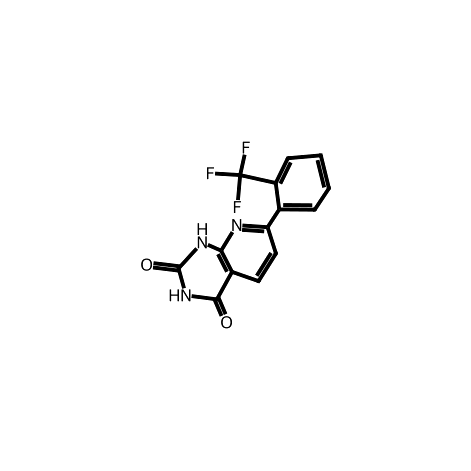 O=c1[nH]c(=O)c2ccc(-c3ccccc3C(F)(F)F)nc2[nH]1